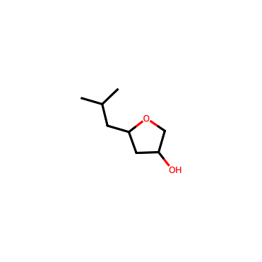 CC(C)CC1CC(O)CO1